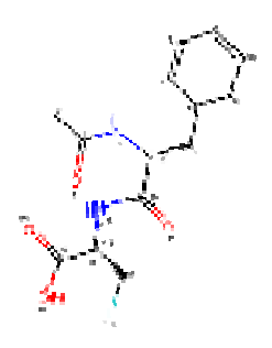 CC(=O)N[C@@H](CC1C=CC=CC1)C(=O)N[C@@H](CF)C(=O)O